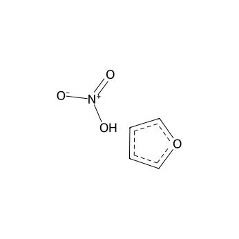 O=[N+]([O-])O.c1ccoc1